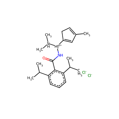 CC1=CC[C]([Hf+2]([NH]C(=O)c2c(C(C)C)cccc2C(C)C)[SiH](C)C)=C1.[Cl-].[Cl-]